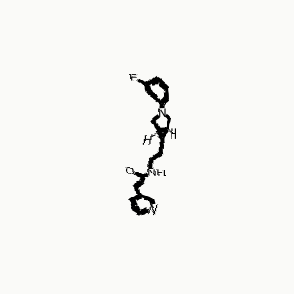 O=C(/C=C/c1cccnc1)NCCC1[C@H]2CN(c3cccc(F)c3)C[C@@H]12